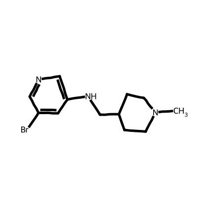 CN1CCC(CNc2cncc(Br)c2)CC1